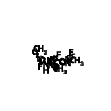 COCCN1CC[C@@H](Nc2nc(OC)c3c(-c4ccc5nc(C)n(CC(F)F)c5c4)c(F)cn3n2)[C@H](F)C1